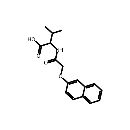 CC(C)C(NC(=O)COc1ccc2ccccc2c1)C(=O)O